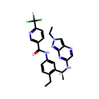 CCc1ccc(NC(=O)c2ccc(C(F)(F)F)nc2)cc1[C@H](C)Nc1cnc2cn(CC)nc2n1